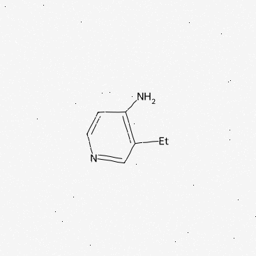 [CH2]Cc1cnccc1N